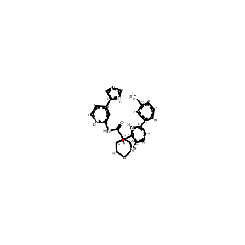 O=C(Nc1cc(-c2cnco2)ccn1)N1c2nc(-c3cccc(C(F)(F)F)c3)ccc2N2CCC1CC2